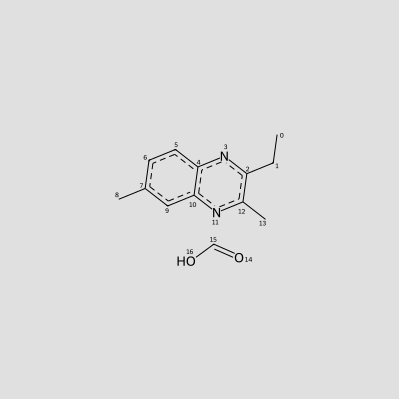 CCc1nc2ccc(C)cc2nc1C.O=CO